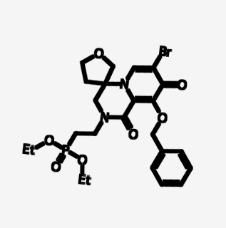 CCOP(=O)(CCN1CC2(CCOC2)n2cc(Br)c(=O)c(OCc3ccccc3)c2C1=O)OCC